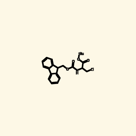 CC(C)(C)OC(=O)C(CCl)NC(=O)OCC1c2ccccc2-c2ccccc21